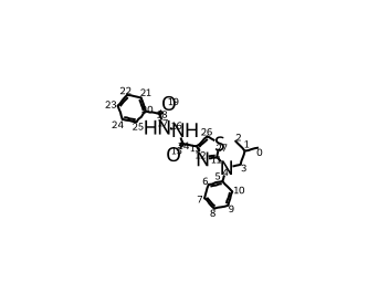 CC(C)CN(c1ccccc1)c1nc(C(=O)NNC(=O)c2ccccc2)cs1